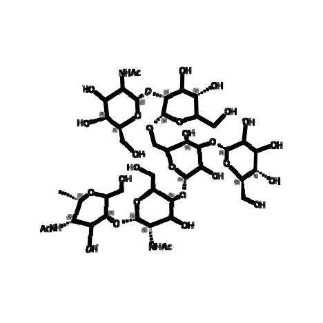 CC(=O)NC1C(O)[C@H](O)[C@H](CO)O[C@H]1O[C@@H]1C(O)[C@H](O)C(CO)O[C@@H]1OCC1O[C@@H](O[C@@H]2C(CO)O[C@@H](O[C@@H]3C(CO)O[C@@H](C)[C@@H](NC(C)=O)C3O)[C@@H](NC(C)=O)C2O)C(O)C(O[C@H]2O[C@H](CO)[C@@H](O)C(O)C2O)[C@@H]1O